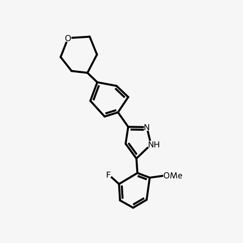 COc1cccc(F)c1-c1cc(-c2ccc(C3CCOCC3)cc2)n[nH]1